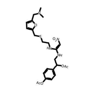 CC(=O)Oc1ccc(C(CNC(=C[N+](=O)[O-])NCCSCc2ccc(CN(C)C)o2)OC(C)=O)cc1